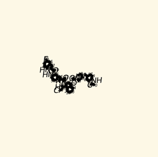 CC(=O)Nc1ccc(CN2CCN(C(=O)Oc3cc4c(c5ccccc35)C(CCl)CN4C(=O)c3cc4cc(NC(=O)c5cc6cc(F)ccc6[nH]5)ccc4[nH]3)CC2)cc1